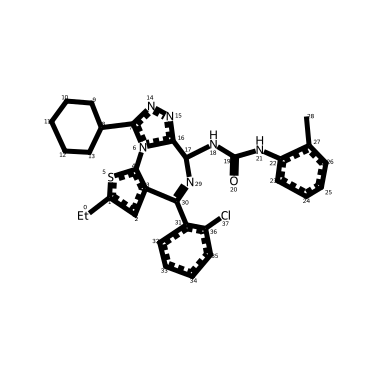 CCc1cc2c(s1)-n1c(C3CCCCC3)nnc1C(NC(=O)Nc1ccccc1C)N=C2c1ccccc1Cl